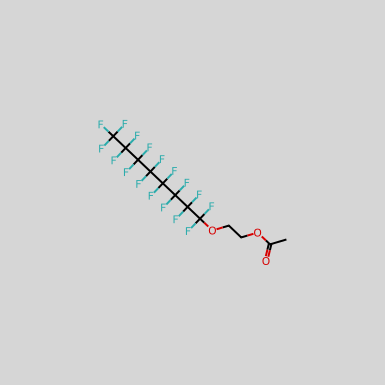 CC(=O)OCCOC(F)(F)C(F)(F)C(F)(F)C(F)(F)C(F)(F)C(F)(F)C(F)(F)C(F)(F)F